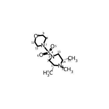 C[C@@H]1CN(S(=O)(=O)N2CCOCC2)C[C@H](C)N1C